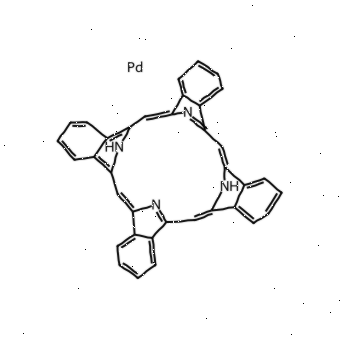 [Pd].c1ccc2c(c1)-c1cc3[nH]c(cc4nc(cc5[nH]c(cc-2n1)c1ccccc51)-c1ccccc1-4)c1ccccc31